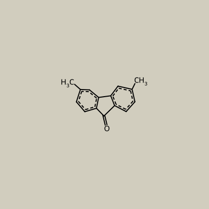 Cc1ccc2c(c1)-c1cc(C)ccc1C2=O